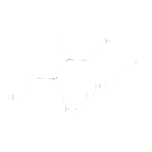 CO.COC(=O)C(=O)OC.C[O-].[K+]